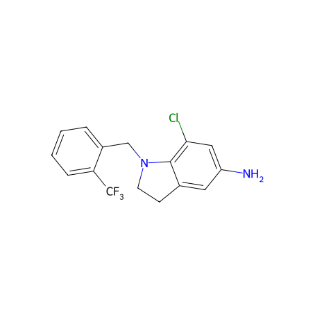 Nc1cc(Cl)c2c(c1)CCN2Cc1ccccc1C(F)(F)F